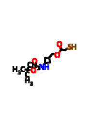 CC(C)(C)OC(=O)NC1CC(COC(=O)CS)C1